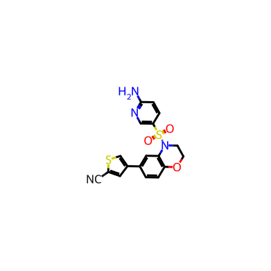 N#Cc1cc(-c2ccc3c(c2)N(S(=O)(=O)c2ccc(N)nc2)CCO3)cs1